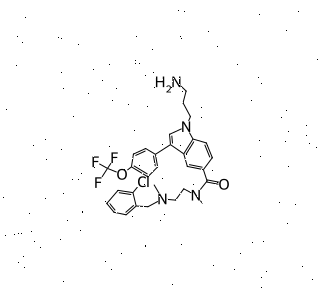 CN(CCN(C)C(=O)c1ccc2c(c1)c(-c1ccc(OC(F)(F)F)cc1)cn2CCCN)Cc1ccccc1Cl